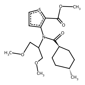 COCC(COC)N(c1ccsc1C(=O)OC)C(=O)[C@H]1CC[C@H](C)CC1